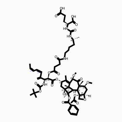 C=C(/C=C\C=C/C)[C@H](NC(=O)OC(C)(C)C)[C@@H](OC(=O)CCC(=O)NCCCC[C@@H](C)NC(=O)N[C@@H](CCC(=O)O)C(=O)O)C(=O)O[C@H]1C[C@@]2(O)[C@](C)(OC(=O)c3ccccc3)C3[C@@H]4[C@]5(OC(C)=O)CO[C@@H]5C[C@H](OC)[C@@]4(C)C(=O)[C@H](OC)C(=C1C)[C@]32C